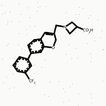 O=C(O)C1CN(CC2=Cc3ccc(-c4cccc(C(F)(F)F)c4)cc3OC2)C1